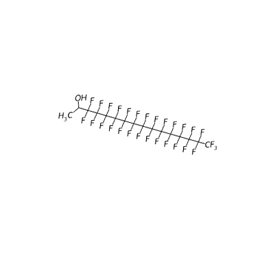 CC(O)C(F)(F)C(F)(F)C(F)(F)C(F)(F)C(F)(F)C(F)(F)C(F)(F)C(F)(F)C(F)(F)C(F)(F)C(F)(F)C(F)(F)C(F)(F)C(F)(F)F